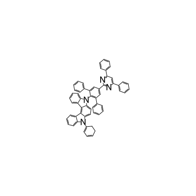 C1=CCCC(n2c3ccccc3c3c4c5ccccc5n(-c5c(-c6ccccc6)cc(-c6nc(-c7ccccc7)cc(-c7ccccc7)n6)cc5-c5ccccc5)c4ccc32)=C1